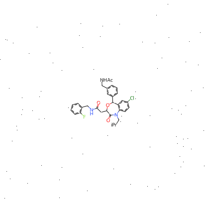 CC(=O)NCc1cccc(C2OC(CC(=O)NCc3ccccc3F)C(=O)N(CC(C)C)c3ccc(Cl)cc32)c1